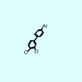 CC(=O)c1ccc(-c2ccc(Cl)c(Cl)c2)cc1